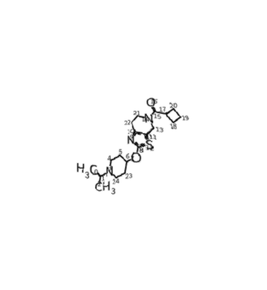 CC(C)N1CCC(Oc2nc3c(s2)CN(C(=O)C2CCC2)CC3)CC1